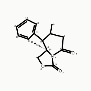 CC1CC(=O)N2C(=O)OC[C@H]2C1c1ccccc1